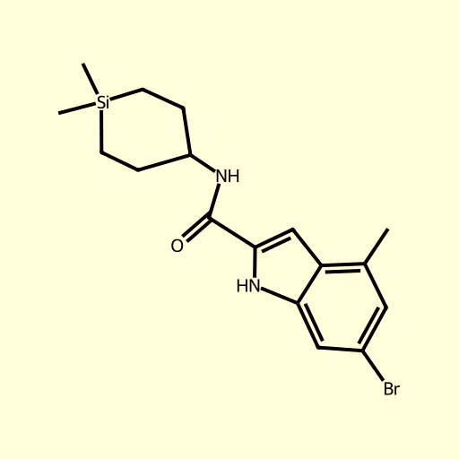 Cc1cc(Br)cc2[nH]c(C(=O)NC3CC[Si](C)(C)CC3)cc12